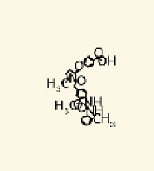 COc1cc(CC(=O)N2C(C)CCC2COc2ccc(C(=O)O)cc2)ccc1NC(=O)Nc1ccccc1C